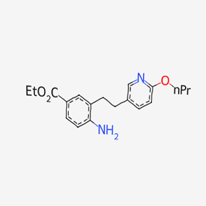 CCCOc1ccc(CCc2cc(C(=O)OCC)ccc2N)cn1